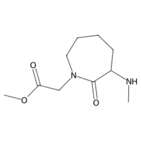 CNC1CCCCN(CC(=O)OC)C1=O